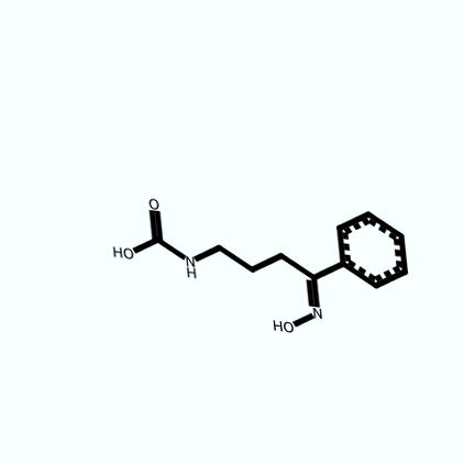 O=C(O)NCCCC(=NO)c1ccccc1